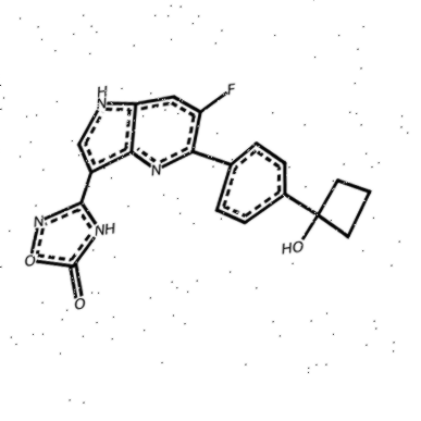 O=c1[nH]c(-c2c[nH]c3cc(F)c(-c4ccc(C5(O)CCC5)cc4)nc23)no1